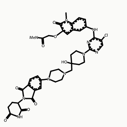 CNC(=O)COc1cc2cc(Nc3nc(N4CCC(O)(CN5CCN(c6ccc7c(c6)C(=O)N(C6CCC(=O)NC6=O)C7=O)CC5)CC4)ncc3Cl)ccc2n(C)c1=O